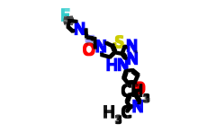 Cc1ccc(Oc2ccc(Nc3ncnc4sc5c(c34)CCN(C(=O)/C=C/CN3CC[C@H](F)C3)C5)cc2C)cn1